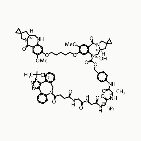 COc1cc2c(cc1OCCCCCOc1cc3c(cc1OC)C(=O)N1CC4(CC4)C[C@H]1[C@H](O)N3C(=O)OCc1ccc(NC(=O)[C@H](C)NC(=O)[C@@H](NC(=O)CNC(=O)CNC(=O)CCC(=O)N3Cc4ccccc4-c4c(nnn4C(C)(C)I)-c4ccccc43)C(C)C)cc1)NC[C@@H]1CC3(CC3)CN1C2=O